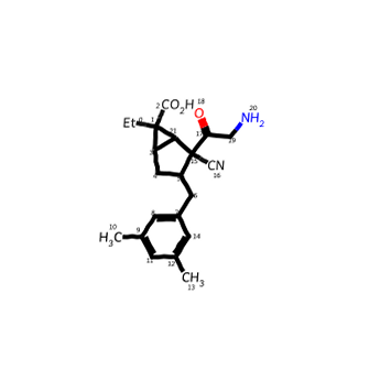 CCC1(C(=O)O)C2CC(Cc3cc(C)cc(C)c3)C(C#N)(C(=O)CN)C21